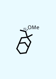 CO[C@@H](C)C1(C)CC2CCCC(C2)C1